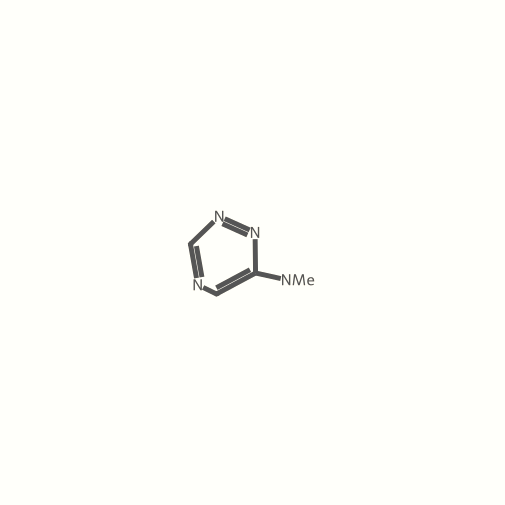 CNc1cncnn1